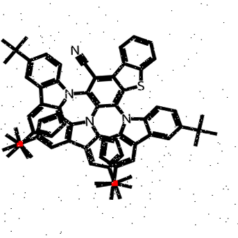 CC(C)(C)c1ccc2c(c1)c1cc(C(C)(C)C)ccc1n2-c1c(-n2c3ccc(C(C)(C)C)cc3c3cc(C(C)(C)C)ccc32)c(C#N)c2c(sc3ccccc32)c1-n1c2ccc(C(C)(C)C)cc2c2cc(C(C)(C)C)ccc21